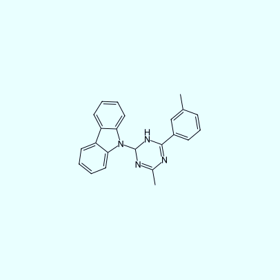 CC1=NC(n2c3ccccc3c3ccccc32)NC(c2cccc(C)c2)=N1